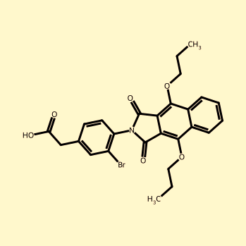 CCCOc1c2c(c(OCCC)c3ccccc13)C(=O)N(c1ccc(CC(=O)O)cc1Br)C2=O